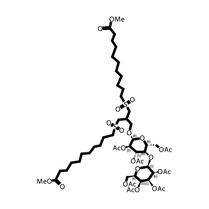 COC(=O)CCCCCCCCCCS(=O)(=O)CC(CO[C@@H]1O[C@H](COC(C)=O)[C@@H](O[C@@H]2O[C@H](COC(C)=O)[C@H](OC(C)=O)[C@H](OC(C)=O)[C@H]2OC(C)=O)[C@H](OC(C)=O)[C@H]1OC(C)=O)CS(=O)(=O)CCCCCCCCCCC(=O)OC